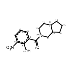 O=C(c1cccc([N+](=O)[O-])c1O)N1CCN2CCCC2C1